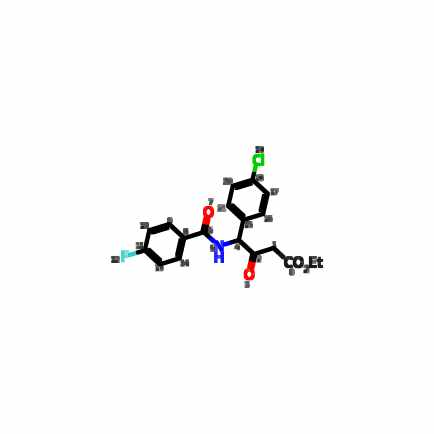 CCOC(=O)CC(=O)C(NC(=O)c1ccc(F)cc1)c1ccc(Cl)cc1